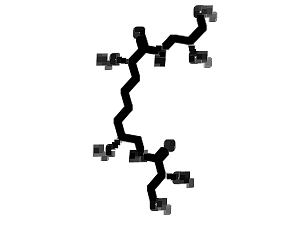 CC[C@H](C)CNC(=O)[C@@H](C)CCCC[C@@H](C)CNC(=O)[C@H](C)CC